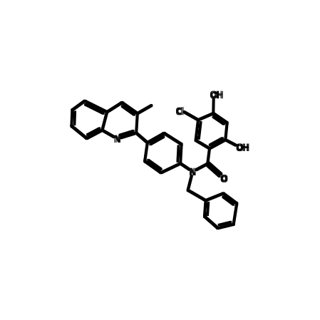 Cc1cc2ccccc2nc1-c1ccc(N(Cc2ccccc2)C(=O)c2cc(Cl)c(O)cc2O)cc1